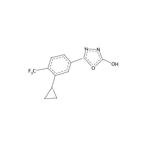 Oc1nnc(-c2ccc(C(F)(F)F)c(C3CC3)c2)o1